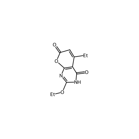 CCOc1nc2oc(=O)cc(CC)c2c(=O)[nH]1